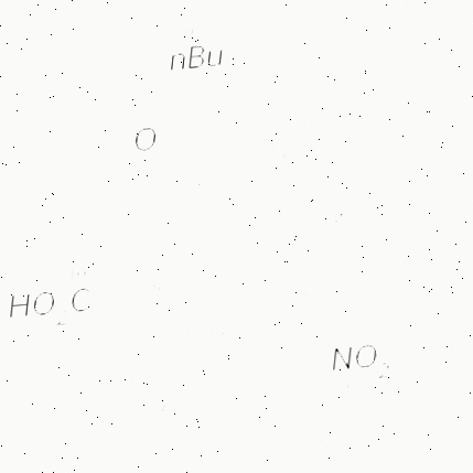 CCCCOc1ccc([N+](=O)[O-])c(C)c1C(=O)O